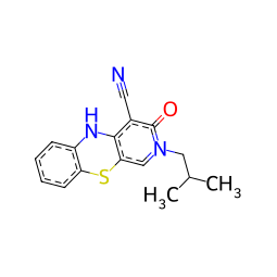 CC(C)Cn1cc2c(c(C#N)c1=O)Nc1ccccc1S2